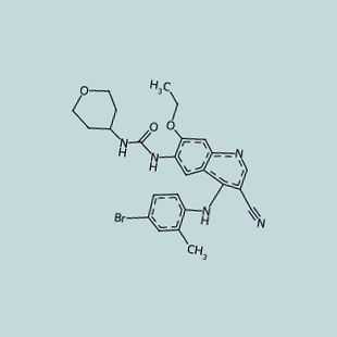 CCOc1cc2ncc(C#N)c(Nc3ccc(Br)cc3C)c2cc1NC(=O)NC1CCOCC1